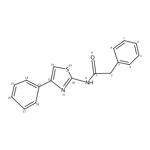 O=C(Cc1ccccc1)Nc1nc(-c2ccccc2)cs1